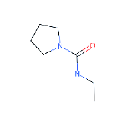 CC[N]C(=O)N1CCCC1